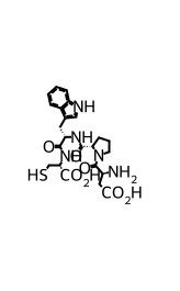 N[C@@H](CC(=O)O)C(=O)N1CCC[C@H]1C(=O)N[C@@H](Cc1c[nH]c2ccccc12)C(=O)N[C@@H](CS)C(=O)O